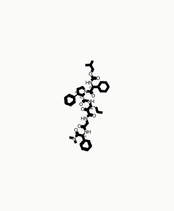 CCC[C@@H](NC(=O)[C@@H]1[C@@H](c2ccccc2)CCN1C(=O)[C@@H](NC(=O)OCC(C)C)C1CCCCC1)C(=O)C(=O)NCC(=O)N[C@H](C(=O)N(C)C)c1ccccc1